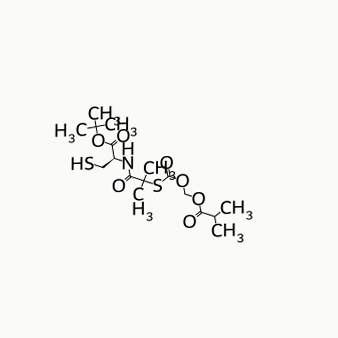 CC(C)C(=O)OCOC(=O)SC(C)(C)C(=O)N[C@@H](CS)C(=O)OC(C)(C)C